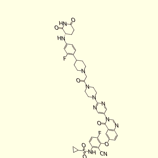 N#Cc1c(NS(=O)(=O)C2CC2)ccc(F)c1Oc1ccc2ncn(-c3cnc(N4CCN(C(=O)CN5CCC(c6ccc(N[C@H]7CCC(=O)NC7=O)cc6F)CC5)CC4)nc3)c(=O)c2c1